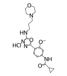 COc1cc(NC(=O)C2CC2)ccc1-c1nnc(NCCCN2CCOCC2)o1.Cl